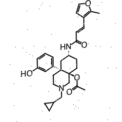 CC(=O)O[C@]12CC[C@@H](NC(=O)C=Cc3ccoc3C)C[C@]1(c1cccc(O)c1)CCN(CC1CC1)C2